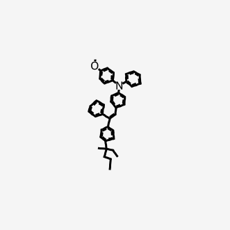 CCCC(C)(CC)c1ccc(/C(=C/c2ccc(N(c3ccccc3)c3ccc(OC)cc3)cc2)c2ccccc2)cc1